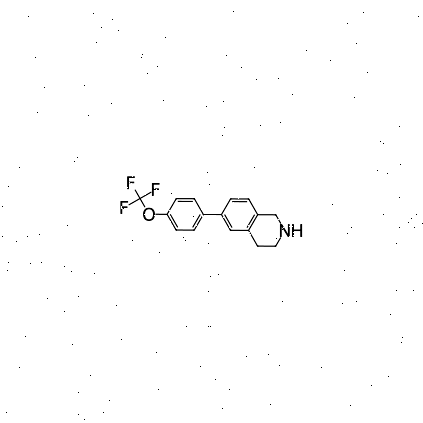 FC(F)(F)Oc1ccc(-c2ccc3c(c2)CCNC3)cc1